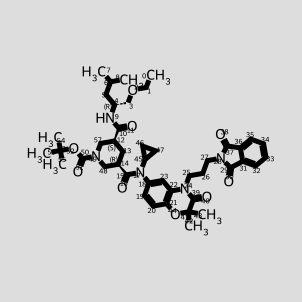 CCOC[C@@H](CC(C)C)NC(=O)[C@H]1C[C@@H](C(=O)N(c2ccc3c(c2)N(CCCN2C(=O)c4ccccc4C2=O)C(=O)C(C)(C)O3)C2CC2)CN(C(=O)OC(C)(C)C)C1